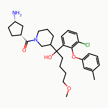 COCCCCC(O)(c1cccc(Cl)c1Oc1cccc(C)c1)C1CCCN(C(=O)[C@@H]2CC[C@H](N)C2)C1